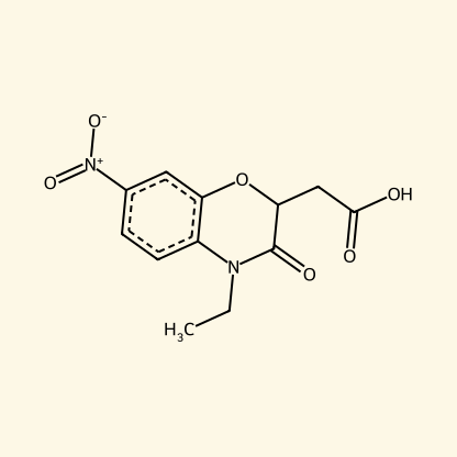 CCN1C(=O)C(CC(=O)O)Oc2cc([N+](=O)[O-])ccc21